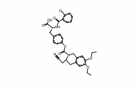 CCOc1cc2c(cc1OCC)CN(C(=O)Oc1ccc(C[C@H](NC(=O)c3ccccc3Cl)C(=O)O)cc1)C(CC#N)C2